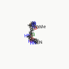 COC(=O)C[C@@H]1N=C(c2ccc(-c3ccc(C(=O)N[C@H](C)c4ccc(S(=O)(=O)Nc5ccc(C)c6c(C#N)c[nH]c56)cc4)c(Cl)c3)cc2)c2c(sc(C)c2C)-n2c(C)nnc21